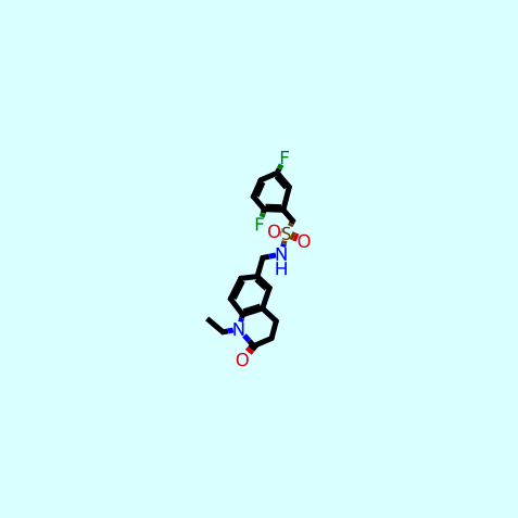 CCN1C(=O)CCc2cc(CNS(=O)(=O)Cc3cc(F)ccc3F)ccc21